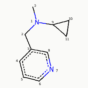 CN(Cc1cccnc1)C1CC1